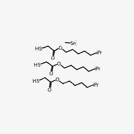 CC(C)CCCCCOC(=O)CS.CC(C)CCCCCOC(=O)CS.CC(C)CCCCCOC(=O)CS.[CH3][Sn]